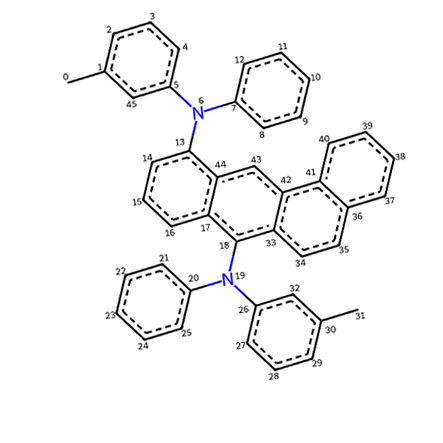 Cc1cccc(N(c2ccccc2)c2cccc3c(N(c4ccccc4)c4cccc(C)c4)c4ccc5ccccc5c4cc23)c1